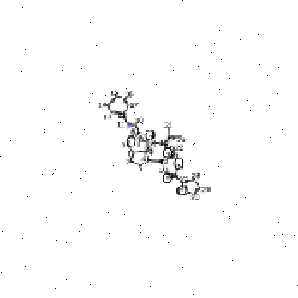 CC1CCC2[C@@H]1[C@H](OC(=O)/C=C/c1ccccc1)C1(C(C)C)CC(OC(=O)c3ccco3)C2(C)O1